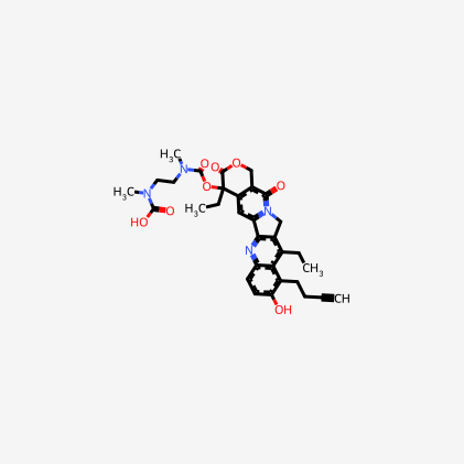 C#CCCc1c(O)ccc2nc3c(c(CC)c12)Cn1c-3cc2c(c1=O)COC(=O)C2(CC)OC(=O)N(C)CCN(C)C(=O)O